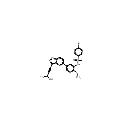 COc1ncc(-c2ccc3nnc(C#CC(C)O)n3n2)cc1NS(=O)(=O)c1ccc(F)cc1